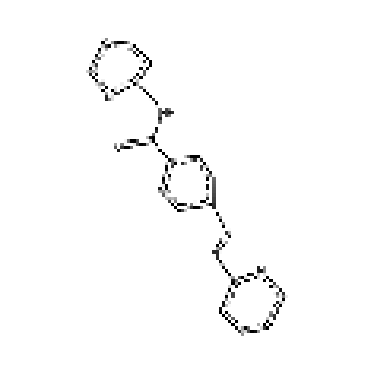 O=C(Nc1ccccn1)c1ccc(N=Nc2ccccn2)cc1